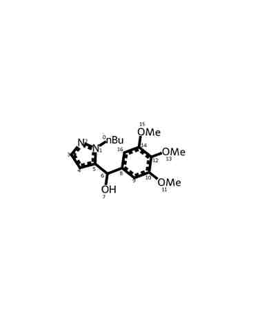 CCCCn1nccc1C(O)c1cc(OC)c(OC)c(OC)c1